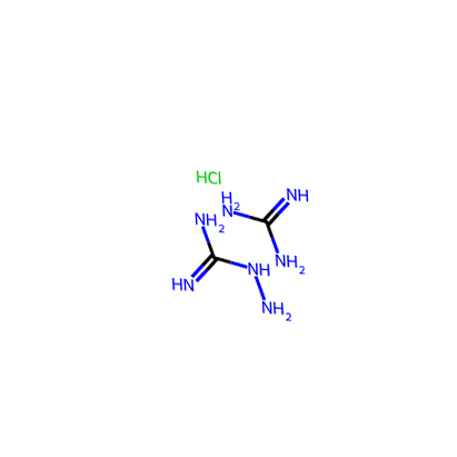 Cl.N=C(N)N.N=C(N)NN